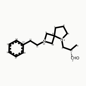 C[C@H](C=O)CN1CCCC12CN(CCc1ccccc1)C2